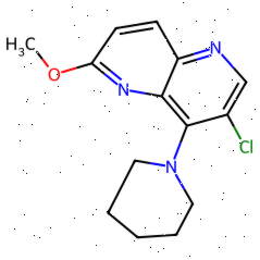 COc1ccc2ncc(Cl)c(N3CCCCC3)c2n1